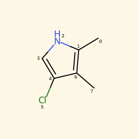 Cc1[nH]cc(Cl)c1C